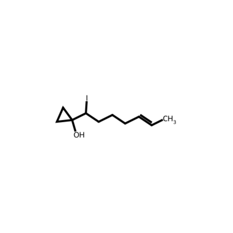 CC=CCCCC(I)C1(O)CC1